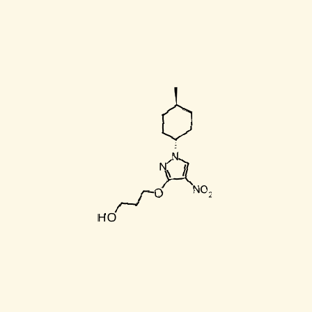 C[C@H]1CC[C@H](n2cc([N+](=O)[O-])c(OCCCO)n2)CC1